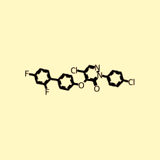 O=c1c(Oc2ccc(-c3ccc(F)cc3F)cc2)c(Cl)cnn1-c1ccc(Cl)cc1